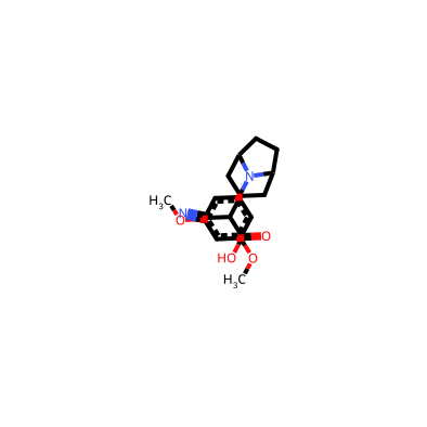 COc1cc(OC)cc(N2C3CCC2CC(C(C#N)C(=O)O)C3)c1